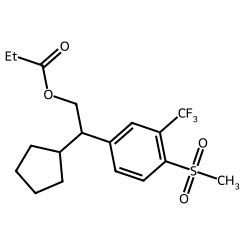 CCC(=O)OCC(c1ccc(S(C)(=O)=O)c(C(F)(F)F)c1)C1CCCC1